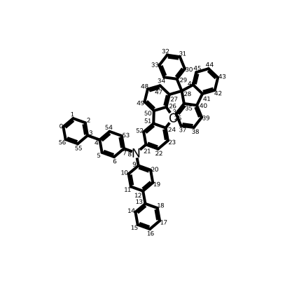 c1ccc(-c2ccc(N(c3ccc(-c4ccccc4)cc3)c3ccc4oc5c(C6(c7ccccc7)c7ccccc7-c7ccccc76)cccc5c4c3)cc2)cc1